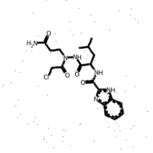 CC(C)CC(NC(=O)c1nc2ccccc2[nH]1)C(=O)NN(CCC(N)=O)C(=O)CCl